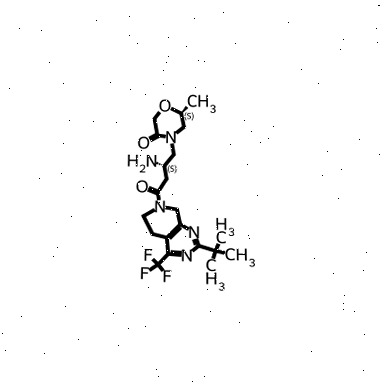 C[C@H]1CN(C[C@@H](N)CC(=O)N2CCc3c(nc(C(C)(C)C)nc3C(F)(F)F)C2)C(=O)CO1